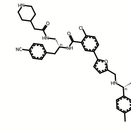 Cc1ccc([C@@H](C)NCc2ccc(-c3ccc(Cl)c(C(=O)N[C@@H](CNC(=O)CC4CCNCC4)Cc4ccc(C#N)cc4)c3)o2)cc1